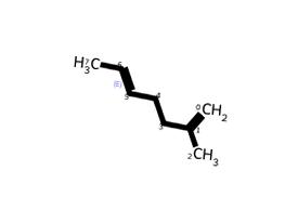 C=C(C)CC/C=C/C